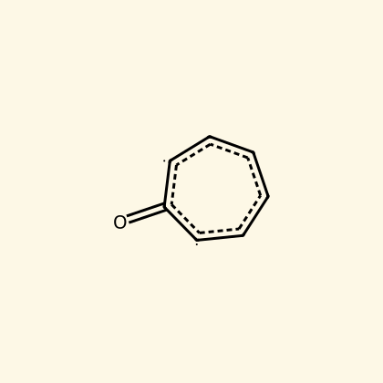 O=c1[c]cccc[c]1